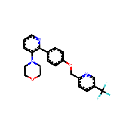 FC(F)(F)c1ccc(COc2ccc(-c3ncccc3N3CCOCC3)cc2)nc1